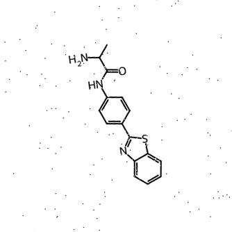 CC(N)C(=O)Nc1ccc(-c2nc3ccccc3s2)cc1